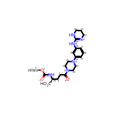 CCCCCCOC(=O)N[C@@H](CCC(=O)N1CCN(c2cccc(NC3=NCCCN3)c2)CC1)C(=O)O